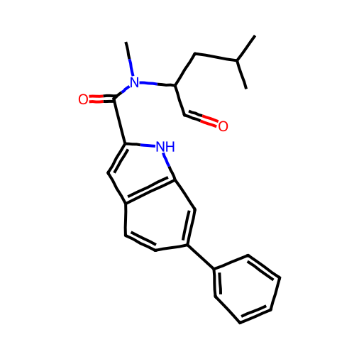 CC(C)CC(C=O)N(C)C(=O)c1cc2ccc(-c3ccccc3)cc2[nH]1